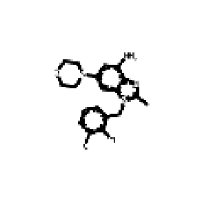 Cc1nc2c(N)cc(N3CCOCC3)cc2n1Cc1cccc(Cl)c1Cl